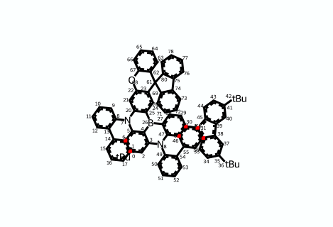 CC(C)(C)c1cc2c3c(c1)N(c1ccccc1-c1ccccc1)c1cc4c(cc1B3c1ccc(-n3c5ccc(C(C)(C)C)cc5c5cc(C(C)(C)C)ccc53)cc1N2c1ccccc1-c1ccccc1)C1(c2ccccc2O4)c2ccccc2-c2ccccc21